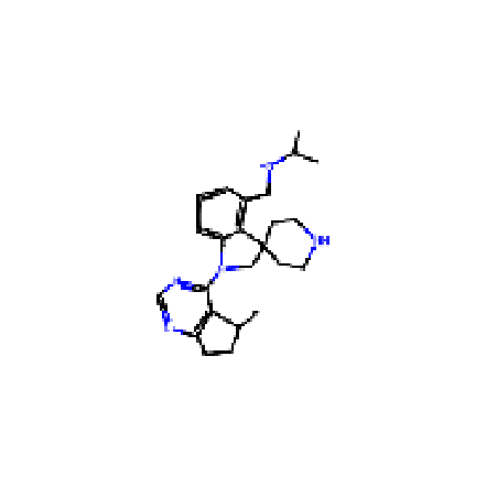 CC(C)NCc1cccc2c1C1(CCNCC1)CN2c1ncnc2c1C(C)CC2